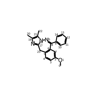 COc1ccc2c(c1)C(c1ccccc1)=Nn1c(nc(C)c1C)C2